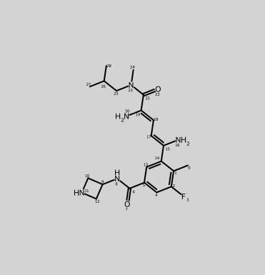 Cc1c(F)cc(C(=O)NC2CNC2)cc1/C(N)=C/C=C(\N)C(=O)N(C)CC(C)C